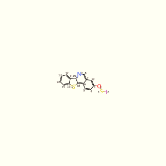 ISOc1ccc2c(cnc3c4ccccc4sc23)c1